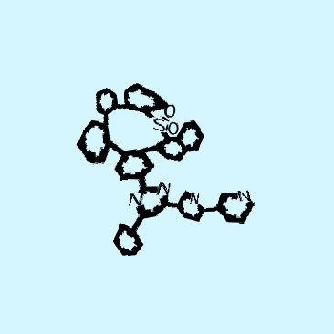 O=S1(=O)c2ccccc2-c2ccccc2-c2ccccc2-c2ccc(-c3nc(-c4ccccc4)cc(-c4ccc(-c5cccnc5)nc4)n3)cc2-c2ccc3ccccc3c21